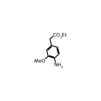 CCOC(=O)Cc1ccc(N)c(OC)c1